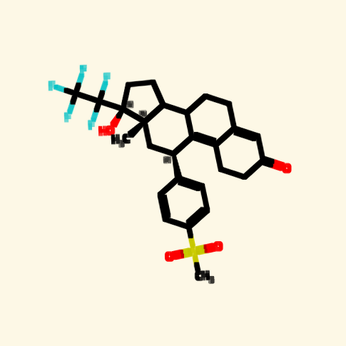 C[C@]12C[C@H](c3ccc(S(C)(=O)=O)cc3)C3=C4CCC(=O)C=C4CCC3C1CC[C@@]2(O)C(F)(F)C(F)(F)F